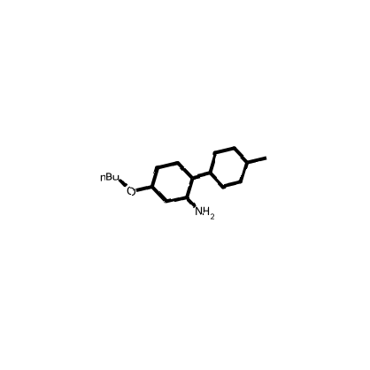 CCCCOC1CCC(C2CCC(C)CC2)C(N)C1